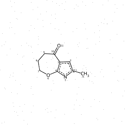 Cn1cc2c(n1)OCCCC2=O